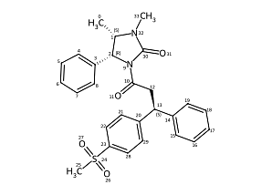 C[C@H]1[C@@H](c2ccccc2)N(C(=O)C[C@@H](c2ccccc2)c2ccc(S(C)(=O)=O)cc2)C(=O)N1C